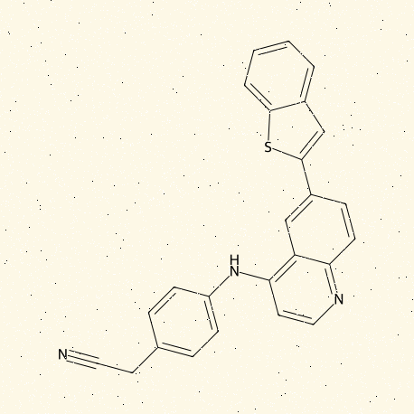 N#CCc1ccc(Nc2ccnc3ccc(-c4cc5ccccc5s4)cc23)cc1